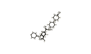 Cc1nn(C2CCCCC2)c2sc(C(=O)NC3CCC(N4CCC(=O)CC4)CC3)cc12